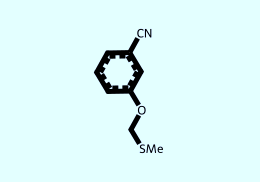 CSCOc1cccc(C#N)c1